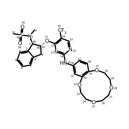 CN([C@@H]1c2ccccc2C[C@H]1Oc1nc(Nc2ccc3c(c2)OCCOCCOCCO3)ncc1C(F)(F)F)S(C)(=O)=O